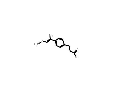 COC=C(C)c1ccc(CCC(=O)O)cc1